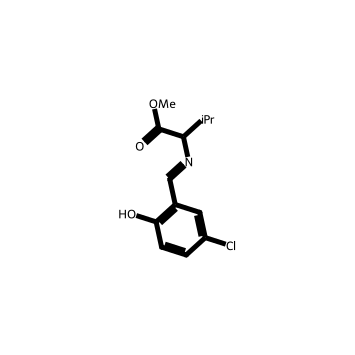 COC(=O)C(N=Cc1cc(Cl)ccc1O)C(C)C